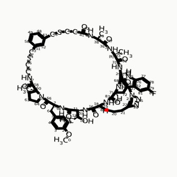 COc1ccc(C[C@@H]2NC(=O)[C@H]([C@H](C)O)NC(=O)[C@@H]3CCCc4cn(nn4)CC[C@H](NC(=O)[C@@H](C)NC(=O)[C@H](C)NC(=O)CCSCc4cccc(c4)CSCCNC(=O)[C@]4(C)CCCN4C2=O)C(=O)N[C@@H](Cc2c[nH]c4ccc(F)cc24)C(=O)N3)cc1